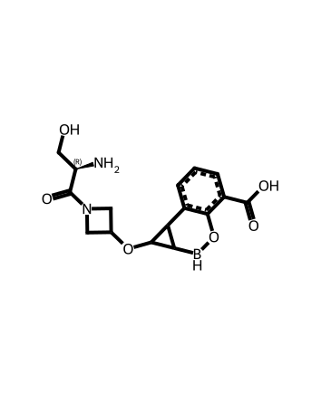 N[C@H](CO)C(=O)N1CC(OC2C3BOc4c(C(=O)O)cccc4C32)C1